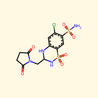 NS(=O)(=O)c1cc2c(cc1Cl)NC(CN1C(=O)CCC1=O)NS2(=O)=O